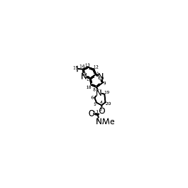 CNC(=O)OC1CCN(c2cnc3ccc(I)nc3c2)CC1